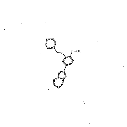 COc1ccc(-c2cn3ccccc3n2)cc1OCc1ccccc1